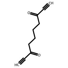 C#CC(=O)CCCCC(=O)C#C